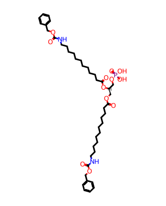 O=C(CCCCCCCCCCCNC(=O)OCc1ccccc1)OC[C@H](COP(=O)(O)O)OC(=O)CCCCCCCCCCCNC(=O)OCc1ccccc1